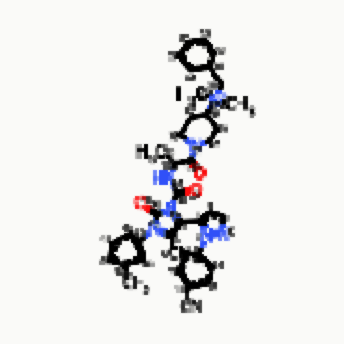 Cc1c(-c2ccnn2-c2ccc(C#N)cc2)n(C(=O)N[C@@H](C)C(=O)N2CCC([N+](C)(C)Cc3ccccc3)CC2)c(=O)n1-c1cccc(C(F)(F)F)c1